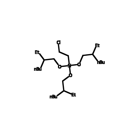 CCCCC(CC)CO[Si](CCCl)(OCC(CC)CCCC)OCC(CC)CCCC